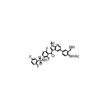 CC(=O)Nc1ccc(-c2cnc3c(c2)c(C(=O)c2c(F)ccc(NS(=O)(=O)c4cc(F)ccc4F)c2F)cn3C(C)=O)cc1C=N